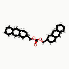 O=C(OCc1ccc2cc3ccccc3cc2c1)OCc1ccc2cc3ccccc3cc2c1